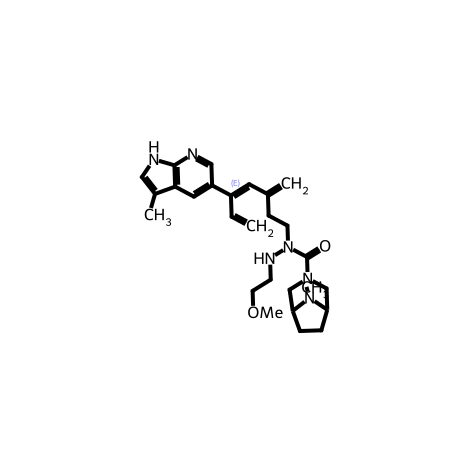 C=C/C(=C\C(=C)CCN(NCCOC)C(=O)N1CC2CCC(C1)N2C)c1cnc2[nH]cc(C)c2c1